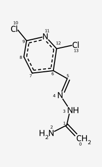 C=C(N)N/N=C/c1ccc(Cl)nc1Cl